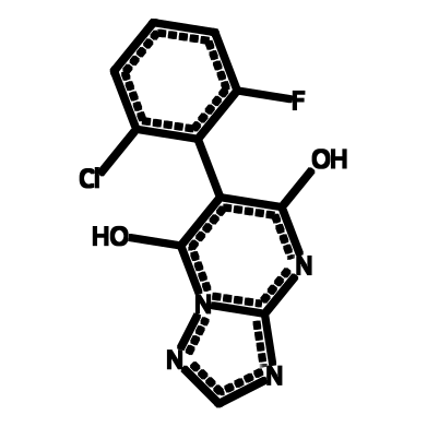 Oc1nc2ncnn2c(O)c1-c1c(F)cccc1Cl